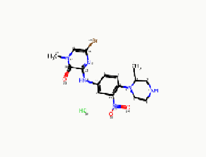 C[C@H]1CNCCN1c1ccc(Nc2nc(Br)cn(C)c2=O)cc1[N+](=O)[O-].Cl